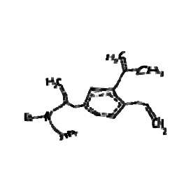 C=Cc1ccc(C(=C)N(CC)CCC)cc1C(=C)C